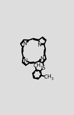 Cc1cccc(C)c1SC1=CC2=CC3=NC(=CC4=NC(=CC5=NC(=CC1=N2)C=C5)C=C4)C=C3